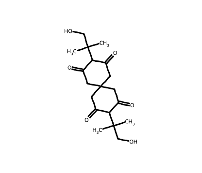 CC(C)(CO)C1C(=O)CC2(CC1=O)CC(=O)C(C(C)(C)CO)C(=O)C2